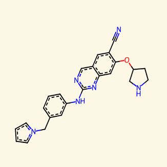 N#Cc1cc2cnc(Nc3cccc(Cn4cccc4)c3)nc2cc1OC1CCNC1